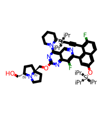 CC(C)[Si](C#Cc1c(F)ccc2cc(O[Si](C(C)C)(C(C)C)C(C)C)cc(-c3ncc4c(N5CCCCC5)nc(OC[C@@]56CCCN5[C@H](CO)CC6)nc4c3F)c12)(C(C)C)C(C)C